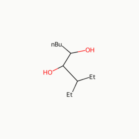 CCCCC(O)C(O)C(CC)CC